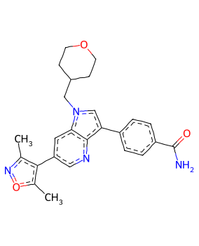 Cc1noc(C)c1-c1cnc2c(-c3ccc(C(N)=O)cc3)cn(CC3CCOCC3)c2c1